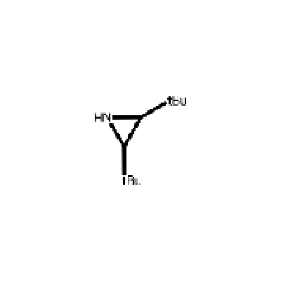 CC(C)(C)C1NC1C(C)(C)C